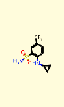 NS(=O)(=O)c1cc(C(F)(F)F)ccc1NC1CC1